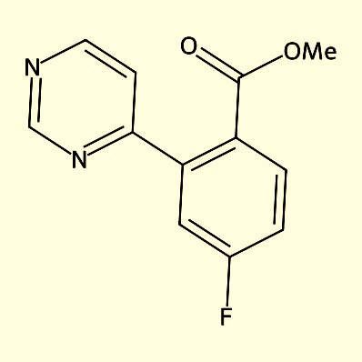 COC(=O)c1ccc(F)cc1-c1ccncn1